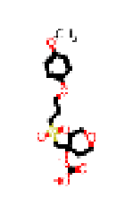 COc1ccc(OCCCS(=O)(=O)CC2(OC(=O)O)CCOCC2)cc1